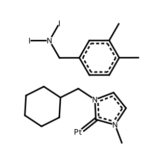 Cc1ccc(CN(I)I)cc1C.Cn1ccn(CC2CCCCC2)[c]1=[Pt]